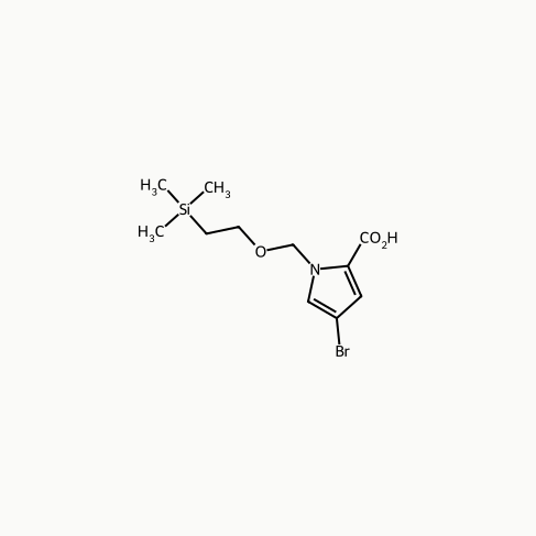 C[Si](C)(C)CCOCn1cc(Br)cc1C(=O)O